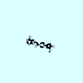 COc1cc(N2CCN(C(=O)Cn3cc4c(Cl)ncnc4n3)CC2)ccc1Cl